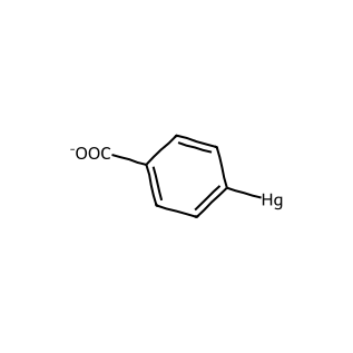 O=C([O-])c1cc[c]([Hg])cc1